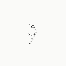 CN(CC(=O)Nc1nc2ccc(OC(F)(F)F)cc2s1)C(=O)CN(C(=O)OC(C)(C)C)C1CN(C(=O)OC(C)(C)C)C1